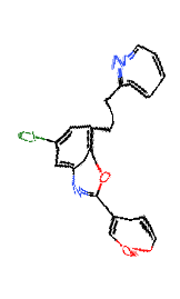 Clc1cc(CCc2ccccn2)c2oc(-c3ccoc3)nc2c1